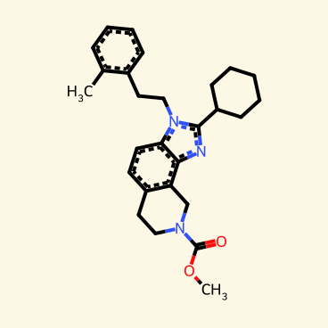 COC(=O)N1CCc2ccc3c(nc(C4CCCCC4)n3CCc3ccccc3C)c2C1